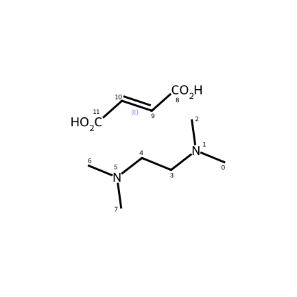 CN(C)CCN(C)C.O=C(O)/C=C/C(=O)O